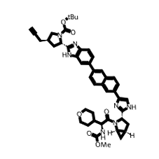 C#CC[C@@H]1C[C@@H](c2nc3ccc(-c4ccc5cc(-c6c[nH]c([C@@H]7C[C@H]8C[C@H]8N7C(=O)[C@@H](NC(=O)OC)C7CCOCC7)n6)ccc5c4)cc3[nH]2)N(C(=O)OC(C)(C)C)C1